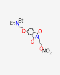 CCN(CC)CCOc1ccc2c(c1)C(=O)N(CCCO[N+](=O)[O-])C2=O